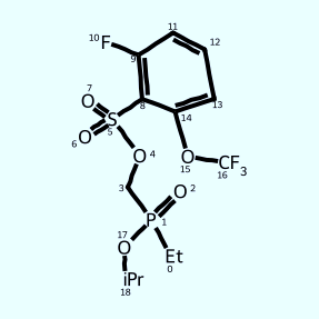 CCP(=O)(COS(=O)(=O)c1c(F)cccc1OC(F)(F)F)OC(C)C